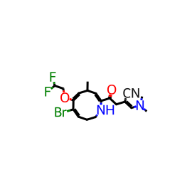 CC1/C=C(/C(=O)C/C(C#N)=C/N(C)C)NCC/C=C(Br)\C(OCC(F)F)=C/1